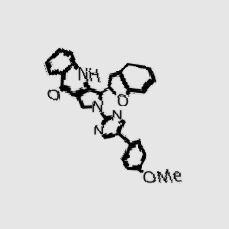 COc1ccc(-c2cnc(N3Cc4c([nH]c5ccccc5c4=O)C3[C@H]3CC4=C(C=CCC4)O3)nc2)cc1